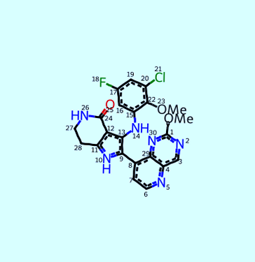 COc1ncc2nccc(-c3[nH]c4c(c3Nc3cc(F)cc(Cl)c3OC)C(=O)NCC4)c2n1